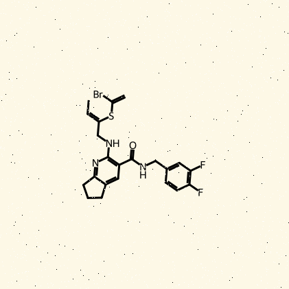 C=C(Br)S/C(=C\C)CNc1nc2c(cc1C(=O)NCc1ccc(F)c(F)c1)CCC2